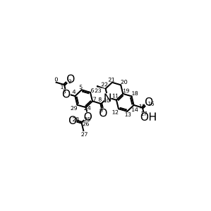 CC(=O)Oc1ccc(C(=O)N2c3ccc(C(=O)O)cc3CC[C@@H]2C)c(OC(C)=O)c1